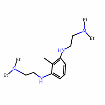 CCN(CC)CCNc1cccc(NCCN(CC)CC)c1C